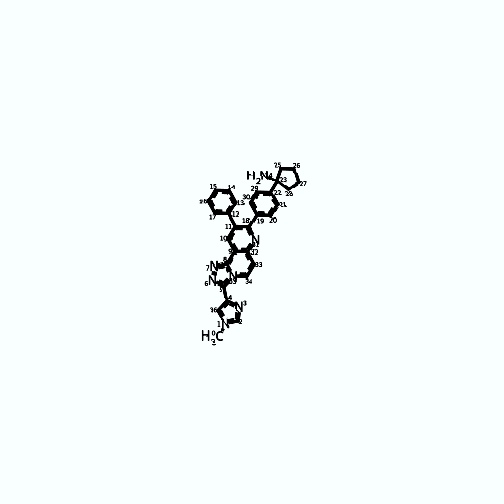 Cn1cnc(-c2nnc3c4cc(-c5ccccc5)c(-c5ccc(C6(N)CCCC6)cc5)nc4ccn23)c1